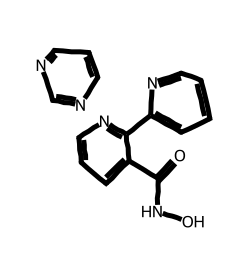 O=C(NO)c1cccnc1-c1ccccn1.c1cncnc1